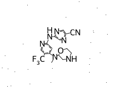 CN(c1cc(Nc2cnc(C#N)cn2)ncc1C(F)(F)F)C1CNCCO1